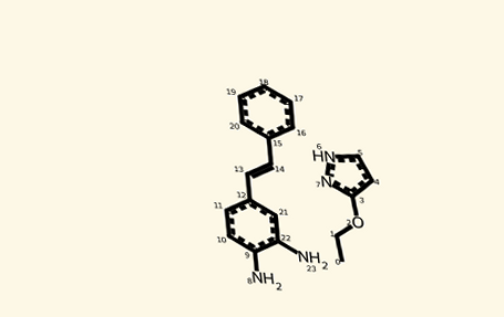 CCOc1cc[nH]n1.Nc1ccc(C=Cc2ccccc2)cc1N